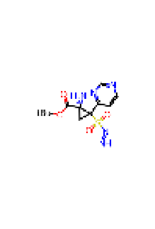 CC(C)(C)OC(=O)C1(N)CC1(c1ccncn1)S(=O)(=O)N=N